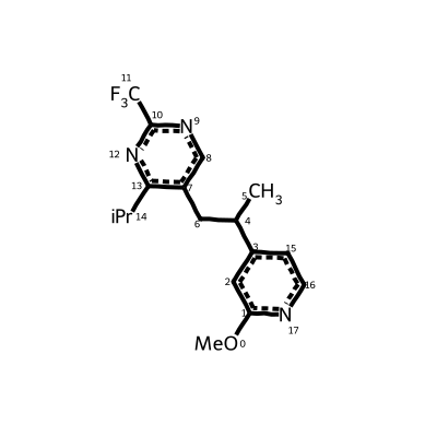 COc1cc(C(C)Cc2cnc(C(F)(F)F)nc2C(C)C)ccn1